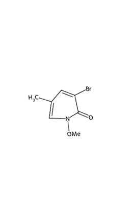 COn1cc(C)cc(Br)c1=O